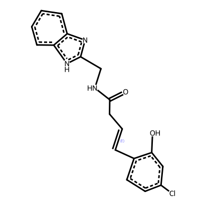 O=C(C/C=C/c1ccc(Cl)cc1O)NCc1nc2ccccc2[nH]1